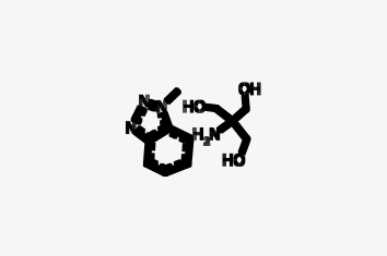 Cn1nnc2ccccc21.NC(CO)(CO)CO